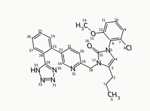 CCCc1cn(-c2c(Cl)cccc2OC)c(=O)n1Cc1ccc(-c2ccccc2-c2nnn[nH]2)cn1